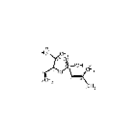 C=CC(OP(=O)(O)C=C(C)C)C(C)C